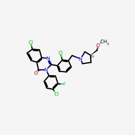 COC[C@H]1CCN(Cc2cccc(-c3nc4cc(Cl)ccc4c(=O)n3-c3ccc(Cl)c(F)c3)c2Cl)C1